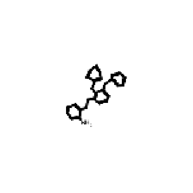 Nc1ccccc1CCc1cccc(Cc2ccccc2)c1Cc1ccccc1